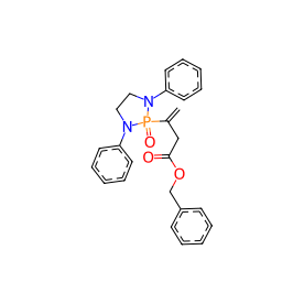 C=C(CC(=O)OCc1ccccc1)P1(=O)N(c2ccccc2)CCN1c1ccccc1